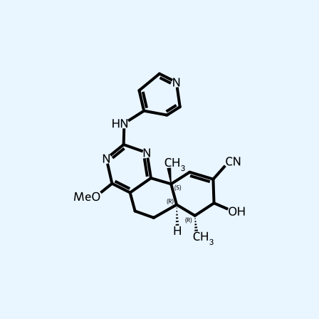 COc1nc(Nc2ccncc2)nc2c1CC[C@@H]1[C@@H](C)C(O)C(C#N)=C[C@@]21C